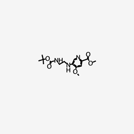 COC(=O)c1cc(OC)c(NCCNC(=O)OC(C)(C)C)cn1